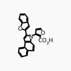 O=C(O)c1occc1-n1c(-c2cc3ccccc3o2)cc2c3ccccc3ccc21